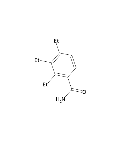 CCc1ccc(C(N)=O)c(CC)c1CC